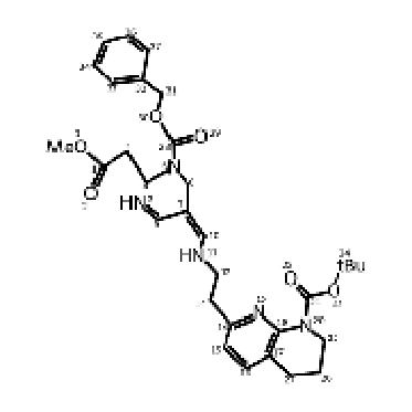 COC(=O)CCN(C/C(C=N)=C/NCCc1ccc2c(n1)N(C(=O)OC(C)(C)C)CCC2)C(=O)OCc1ccccc1